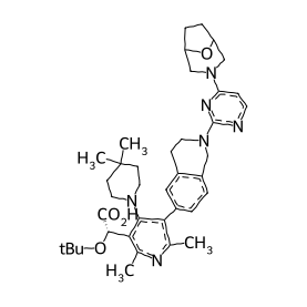 Cc1nc(C)c([C@H](OC(C)(C)C)C(=O)O)c(N2CCC(C)(C)CC2)c1-c1ccc2c(c1)CCN(c1nccc(N3CC4CCC(C3)O4)n1)C2